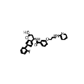 O=C(O)CC(NC(=O)c1cccc(OCCCNc2ccccn2)c1)c1ccc(-c2ccccc2F)cc1